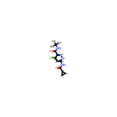 [2H]C([2H])([2H])NC(=O)c1nnc(NC(=O)C2CC2)cc1Cl